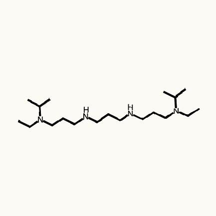 CCN(CCCNCCCNCCCN(CC)C(C)C)C(C)C